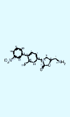 NCC1CN(C2=CC=C(c3cccc([N+](=O)[O-])c3)C(F)C2)C(=O)O1